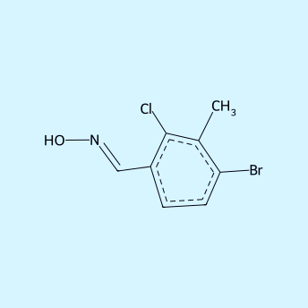 Cc1c(Br)ccc(C=NO)c1Cl